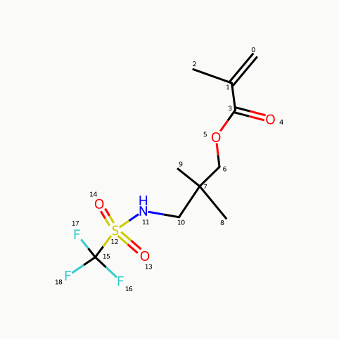 C=C(C)C(=O)OCC(C)(C)CNS(=O)(=O)C(F)(F)F